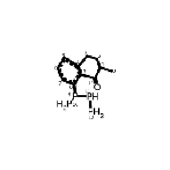 CC1CCc2cccc(P(P)PP)c2C1=O